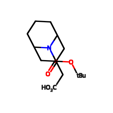 CC(C)(C)OC(=O)N1C2CCCC1CC(CC(=O)O)C2